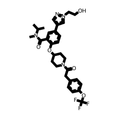 CC(C)N(C)C(=O)c1cc(-c2cnn(CCO)c2)ccc1OC1CCN(C(=O)Cc2ccc(OC(F)(F)F)cc2)CC1